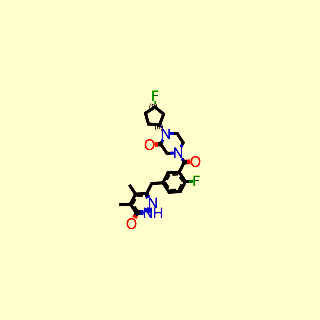 Cc1c(Cc2ccc(F)c(C(=O)N3CCN([C@@H]4CC[C@H](F)C4)C(=O)C3)c2)n[nH]c(=O)c1C